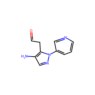 Nc1cnn(-c2cccnc2)c1CC=O